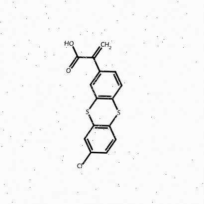 C=C(C(=O)O)c1ccc2c(c1)Sc1cc(Cl)ccc1S2